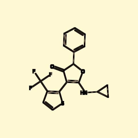 O=C1C(c2sccc2C(F)(F)F)=C(NC2CC2)OC1c1ccccc1